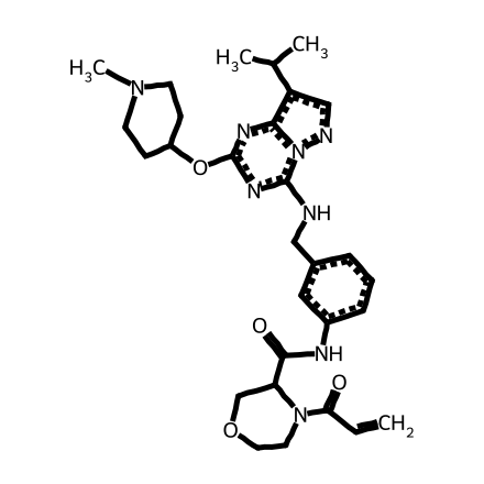 C=CC(=O)N1CCOCC1C(=O)Nc1cccc(CNc2nc(OC3CCN(C)CC3)nc3c(C(C)C)cnn23)c1